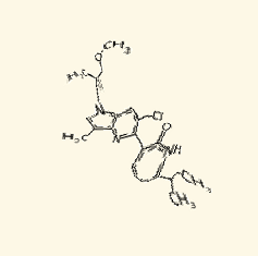 COC[C@H](C)n1cc(C)c2nc(-c3ccc(C(C)C)[nH]c3=O)c(Cl)cc21